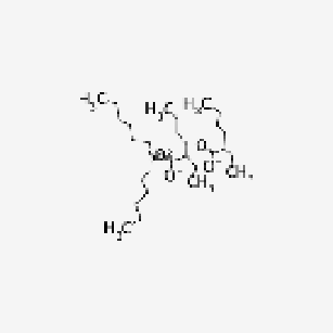 CCCCC(CC)C(=O)[O-].CCCCC(CC)C(=O)[O-].CCCCC[CH2][Sn+2][CH2]CCCCC